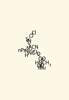 [C-]#[N+]c1c(NCCC)nc(SCc2csc(-c3ccc(Cl)cc3)n2)c(C#N)c1-c1ccc(OCCOC(=O)[C@H](C)NC(=O)OC(C)(C)C)cc1